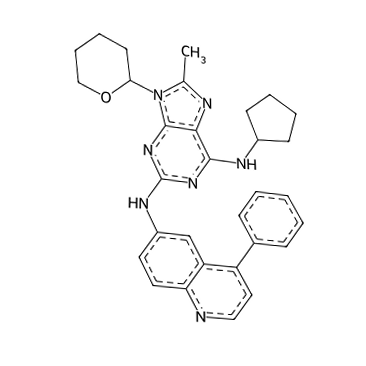 Cc1nc2c(NC3CCCC3)nc(Nc3ccc4nccc(-c5ccccc5)c4c3)nc2n1C1CCCCO1